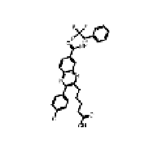 O=C(O)CCCCc1nc2cc(C(=O)N[C@@H](c3ccccc3)C(F)(F)F)ccc2nc1-c1ccc(Cl)cc1